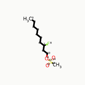 CCCCCCCC(F)CCOS(C)(=O)=O